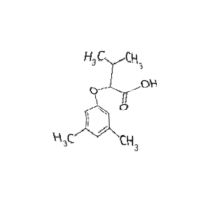 Cc1cc(C)cc(OC(C(=O)O)C(C)C)c1